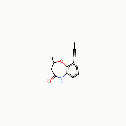 CC#Cc1cccc2c1O[C@H](C)CC(=O)N2